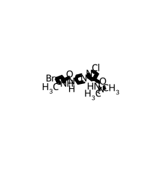 Cc1[nH]c(C(=O)NC2CCN(c3cc(C(=O)NN(C)C)cc(Cl)n3)CC2)cc1Br